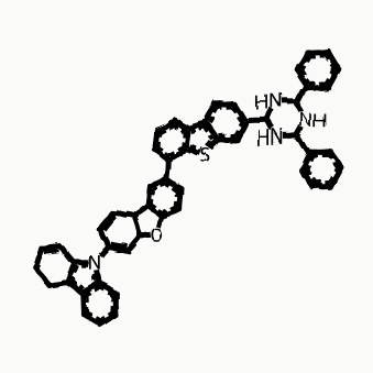 C1=Cc2c(c3ccccc3n2C2=CC3Oc4ccc(-c5cccc6c5sc5cc(C7NC(c8ccccc8)NC(c8ccccc8)N7)ccc56)cc4C3C=C2)CC1